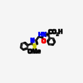 COc1ccccc1-c1nc(CC(=O)N[C@@H](C(=O)O)c2ccccc2)cs1